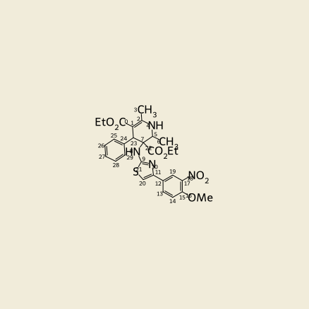 CCOC(=O)C1=C(C)NC(C)C(Nc2nc(-c3ccc(OC)c([N+](=O)[O-])c3)cs2)(C(=O)OCC)C1c1ccccc1